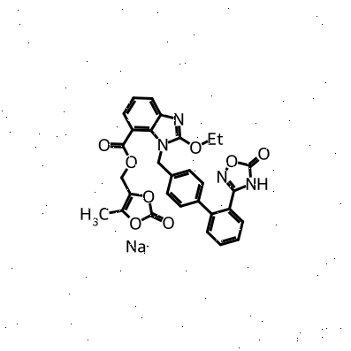 CCOc1nc2cccc(C(=O)OCc3oc(=O)oc3C)c2n1Cc1ccc(-c2ccccc2-c2noc(=O)[nH]2)cc1.[Na]